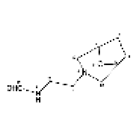 O=[C]NCCN1CC2CCC(C1)O2